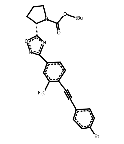 CCc1ccc(C#Cc2ccc(-c3noc([C@@H]4CCCN4C(=O)OC(C)(C)C)n3)cc2C(F)(F)F)cc1